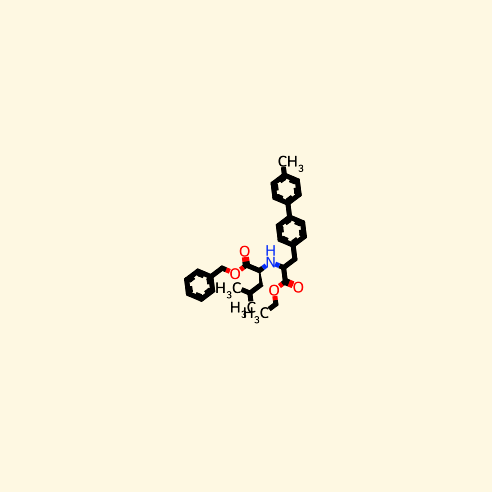 CCOC(=O)C(Cc1ccc(-c2ccc(C)cc2)cc1)N[C@@H](CC(C)C)C(=O)OCc1ccccc1